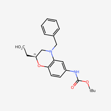 CC(C)(C)OC(=O)Nc1ccc2c(c1)N(Cc1ccccc1)C[C@H](CC(=O)O)O2